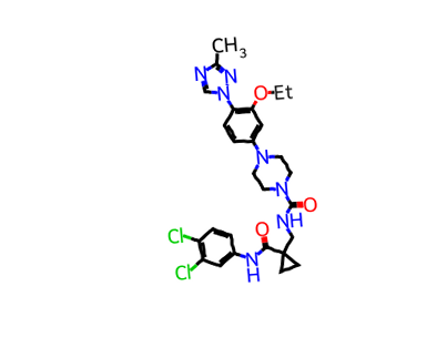 CCOc1cc(N2CCN(C(=O)NCC3(C(=O)Nc4ccc(Cl)c(Cl)c4)CC3)CC2)ccc1-n1cnc(C)n1